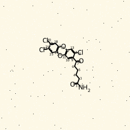 NC(=O)CCCCC(=O)c1cc2c(cc1Cl)Oc1cc(Cl)c(Cl)cc1O2